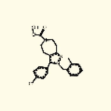 Cc1ccccc1Cn1nc2c(c1-c1ccc(Cl)cc1)CCN(C(=O)OC(C)(C)C)CC2